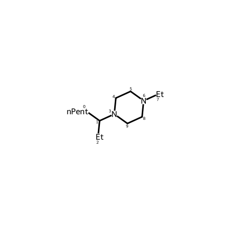 CCCCCC(CC)N1CCN(CC)CC1